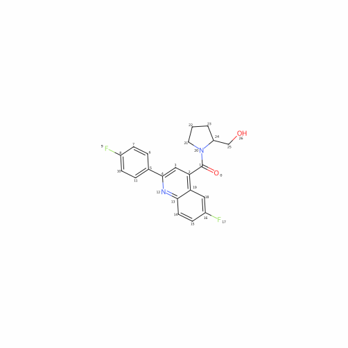 O=C(c1cc(-c2ccc(F)cc2)nc2ccc(F)cc12)N1CCCC1CO